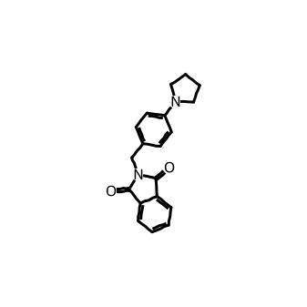 O=C1c2ccccc2C(=O)N1Cc1ccc(N2CCCC2)cc1